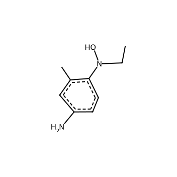 CCN(O)c1ccc(N)cc1C